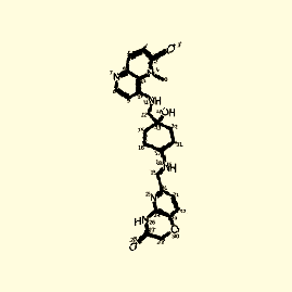 Cn1c(=O)ccc2nccc(NCC3(O)CCC(NCc4ccc5c(n4)NC(=O)CO5)CC3)c21